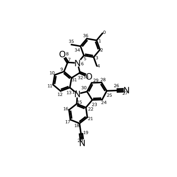 Cc1cc(C)c(N2C(=O)c3cccc(-n4c5ccc(C#N)cc5c5cc(C#N)ccc54)c3C2=O)c(C)c1